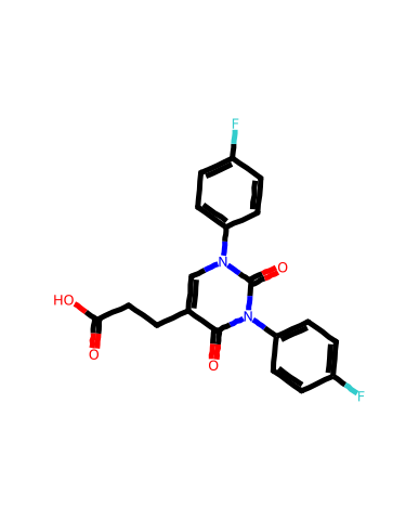 O=C(O)CCc1cn(-c2ccc(F)cc2)c(=O)n(-c2ccc(F)cc2)c1=O